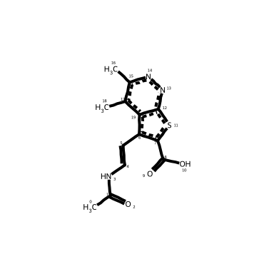 CC(=O)NC=Cc1c(C(=O)O)sc2nnc(C)c(C)c12